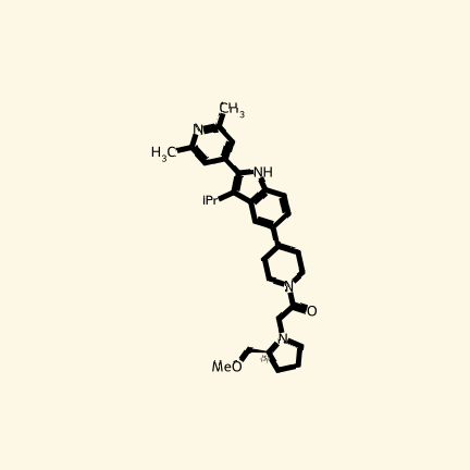 COC[C@@H]1CCCN1CC(=O)N1CCC(c2ccc3[nH]c(-c4cc(C)nc(C)c4)c(C(C)C)c3c2)CC1